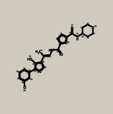 C/C(=N\NC(=O)c1ccc(C(=O)NN2CCOCC2)s1)c1csc(-c2cccc(Cl)c2)c1O